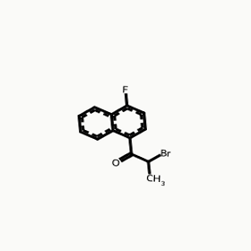 CC(Br)C(=O)c1ccc(F)c2ccccc12